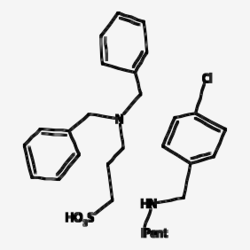 CCCC(C)NCc1ccc(Cl)cc1.O=S(=O)(O)CCCN(Cc1ccccc1)Cc1ccccc1